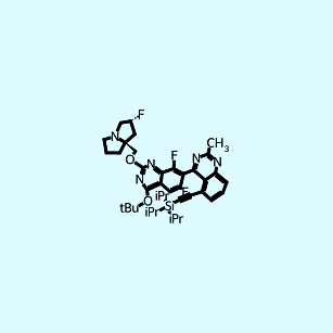 Cc1nc(-c2c(F)cc3c(OC(C)(C)C)nc(OC[C@@]45CCCN4C[C@H](F)C5)nc3c2F)c2c(C#C[Si](C(C)C)(C(C)C)C(C)C)cccc2n1